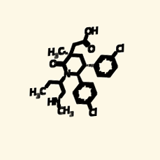 CCC(CNC)N1C(=O)[C@@](C)(CC(=O)O)C[C@H](c2cccc(Cl)c2)[C@H]1c1ccc(Cl)cc1